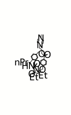 CCCC(NC(=O)N1C(=O)C(CC)(CC)C1Oc1ccc(C(=O)OCCN2CCN(C)CC2)cc1)c1ccc(C)cc1